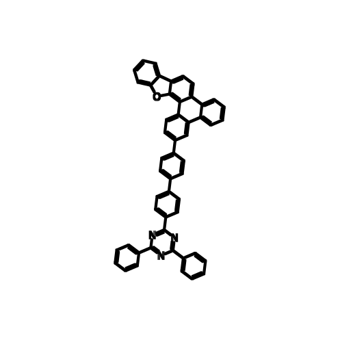 c1ccc(-c2nc(-c3ccccc3)nc(-c3ccc(-c4ccc(-c5ccc6c(c5)c5ccccc5c5ccc7c8ccccc8oc7c56)cc4)cc3)n2)cc1